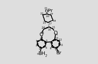 Bc1ccc2c(c1)-c1cc(Br)ccc1OCC([C@H]1CC[C@H](CCC)CC1)CO2